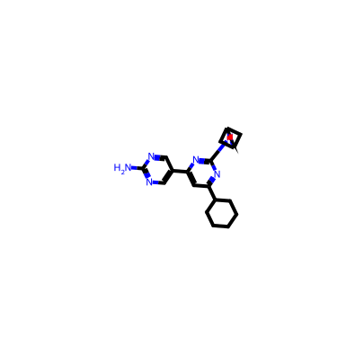 Nc1ncc(-c2cc(C3CCCCC3)nc(N3CC4CC3C4)n2)cn1